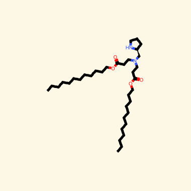 CCCCCCCCCCCCOC(=O)CCN(CCC(=O)OCCCCCCCCCCCC)C[C@@H]1CCCN1